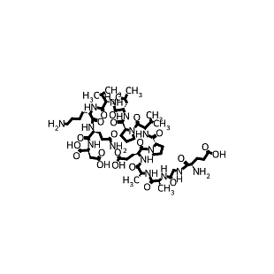 CC(C)C[C@H](NC(=O)[C@@H]1CCCN1C(=O)[C@@H](NC(=O)[C@@H]1CCCN1C(=O)[C@H](CCC(=O)O)NC(=O)[C@H](C)NC(=O)[C@H](C)NC(=O)CNC(=O)[C@@H](N)CCC(=O)O)C(C)C)C(=O)N[C@H](C(=O)N[C@@H](CCCCN)C(=O)N[C@@H](CCC(N)=O)C(=O)N[C@@H](CC(=O)O)C(=O)O)C(C)C